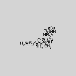 CCCC[C@@H]1NC[C@H](C(=O)CN[C@@H](C)C(=O)CC(=O)[C@@H](N)CCCCN)NC1=O